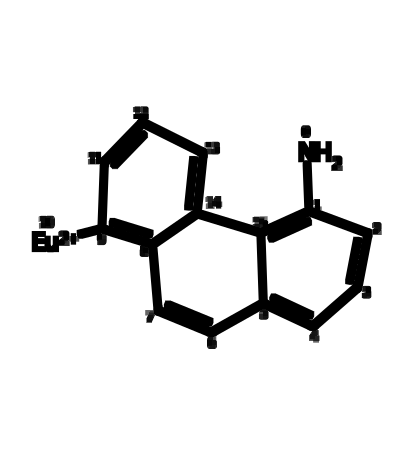 Nc1cccc2ccc3[c]([Eu+2])cccc3c12